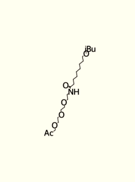 CCC(C)OCCCCCCCCC(=O)NCCOCCOCCOCC(C)=O